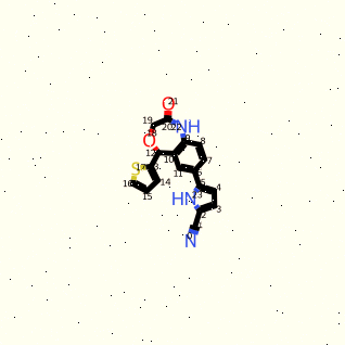 N#Cc1ccc(-c2ccc3c(c2)C(c2cccs2)OCC(=O)N3)[nH]1